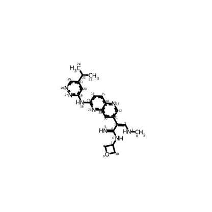 CN/C=C(\C(=N)NC1COC1)c1cnc2ccc(Nc3cc(C(C)C)cnn3)nc2c1